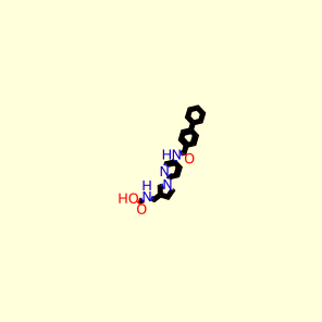 O=C(O)NCC1CCN(c2ccc(NC(=O)c3ccc(C4CCCCC4)cc3)cn2)C1